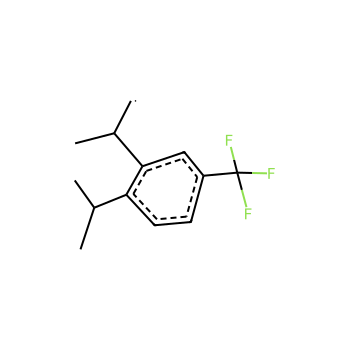 [CH2]C(C)c1cc(C(F)(F)F)ccc1C(C)C